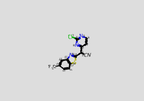 N#CC(c1ccnc(Cl)n1)c1nc2cc(C(F)(F)F)ccc2s1